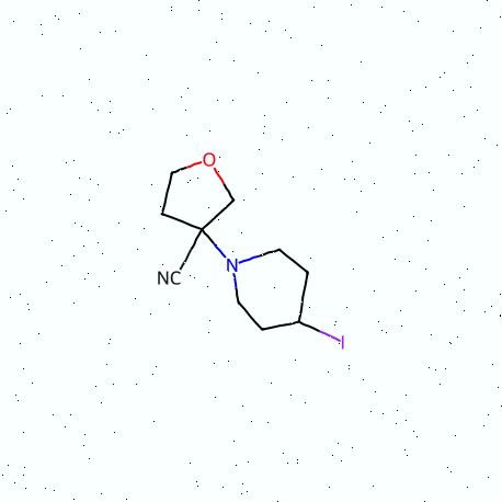 N#CC1(N2CCC(I)CC2)CCOC1